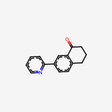 O=C1CCCc2ccc(-c3ccccn3)cc21